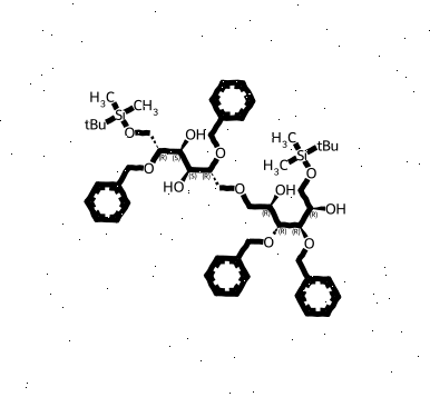 CC(C)(C)[Si](C)(C)OC[C@@H](O)[C@@H](OCc1ccccc1)[C@H](OCc1ccccc1)[C@H](O)COC[C@@H](OCc1ccccc1)[C@@H](O)[C@H](O)[C@@H](CO[Si](C)(C)C(C)(C)C)OCc1ccccc1